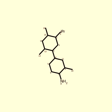 CC(C)C1CC(C2CCC(N)C(C)C2)C(C)CC1C